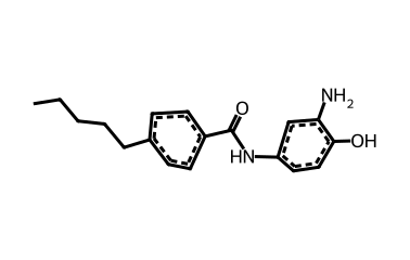 CCCCCc1ccc(C(=O)Nc2ccc(O)c(N)c2)cc1